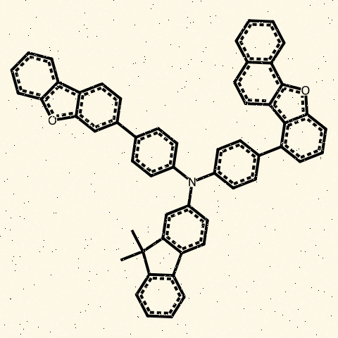 CC1(C)c2ccccc2-c2ccc(N(c3ccc(-c4ccc5c(c4)oc4ccccc45)cc3)c3ccc(-c4cccc5oc6c7ccccc7ccc6c45)cc3)cc21